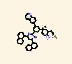 C/C=C\C1=C(N)C=CC(C)(C2=CC(c3ccc4ncccc4c3)=CC(C3=NC(c4cccc5ccccc45)=CC(c4cccc5ccccc45)N3)C2)C1